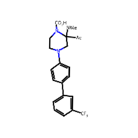 CNC1(C(C)=O)CN(c2ccc(-c3cccc(C(F)(F)F)c3)cc2)CCN1C(=O)O